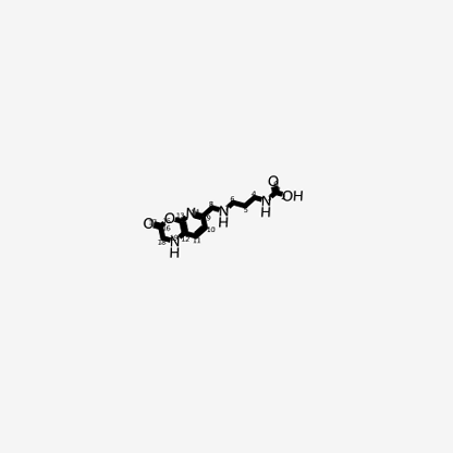 O=C(O)NCCCNCc1ccc2c(n1)OC(=O)CN2